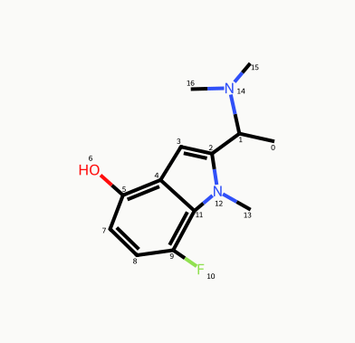 CC(c1cc2c(O)ccc(F)c2n1C)N(C)C